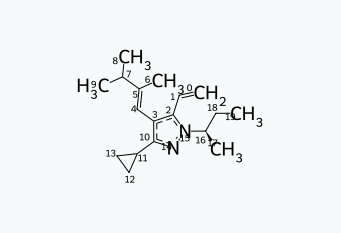 C=Cc1c(/C=C(\C)C(C)C)c(C2CC2)nn1[C@H](C)CC